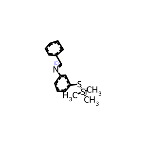 C[Si](C)(C)Sc1cccc(/N=C/c2ccccc2)c1